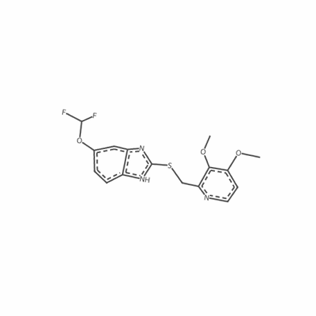 COc1ccnc(CSc2nc3cc(OC(F)F)ccc3[nH]2)c1OC